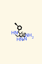 C#Cc1cccc(C2NCCC3=C4NC=NC(N)=C4[Se]C32)c1